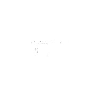 [Ca+2].[F-].[F-].[S]=[Mo]=[S]